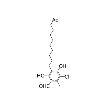 CC(=O)CCCCCCCCCc1c(O)c(Cl)c(C)c(C=O)c1O